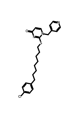 O=c1ccn(Cc2ccncc2)c(SCCCCCCCCc2ccc(Cl)cc2)n1